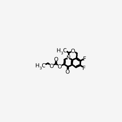 CCOC(=O)Oc1cn2c3c(c(F)c(F)cc3c1=O)COC2C